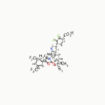 COc1ncc(-c2ccc(C(=O)O)c(F)c2F)cc1C1=C(CN2C(=O)O[C@H](c3cc(C(F)(F)F)cc(C(F)(F)F)c3)[C@@H]2C)CC(C)(C)CC1